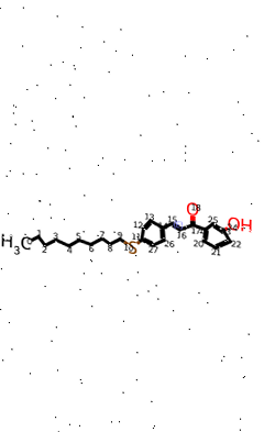 CCCCCCCCCCSc1ccc(/C=C/C(=O)c2cccc(O)c2)cc1